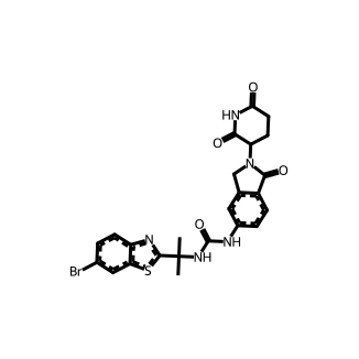 CC(C)(NC(=O)Nc1ccc2c(c1)CN(C1CCC(=O)NC1=O)C2=O)c1nc2ccc(Br)cc2s1